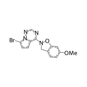 COc1ccc2c(c1)ON(c1ncnn3c(Br)ccc13)C2